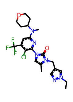 CCn1cc(Cn2c(C)cn(-c3nc(N(C)C4CCOCC4)cc(C(F)(F)F)c3Cl)c2=O)cn1